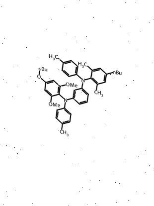 CCCCOc1cc(OC)c(N(c2ccc(C)cc2)c2cccc(N(c3ccc(C)cc3)c3c(C)cc(CCCC)cc3C)c2)c(OC)c1